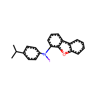 CC(C)c1ccc(N(I)c2cccc3c2oc2ccccc23)cc1